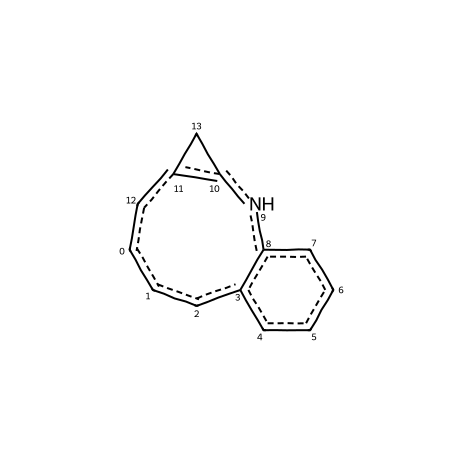 c1ccc2ccccc2[nH]c2c(c1)C2